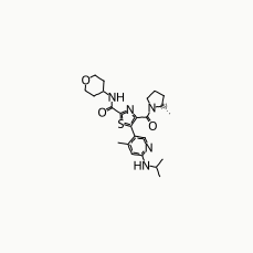 Cc1cc(NC(C)C)ncc1-c1sc(C(=O)NC2CCOCC2)nc1C(=O)N1CCC[C@@H]1C